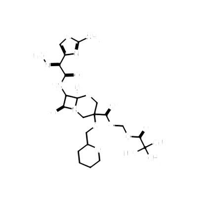 CC(C)(C)C(=O)OCOC(=O)C1(SCC2CCCCO2)CS[C@@H]2C(NC(=O)C(=NO)c3csc(N)n3)C(=O)N2C1